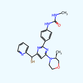 CNC(=O)Nc1ccc(-c2nc(C(S)c3ccccn3)cc(N3CCOC[C@@H]3C)n2)cc1